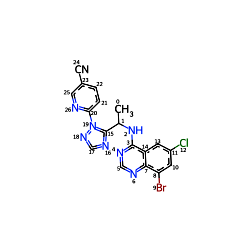 CC(Nc1ncnc2c(Br)cc(Cl)cc12)c1ncnn1-c1ccc(C#N)cn1